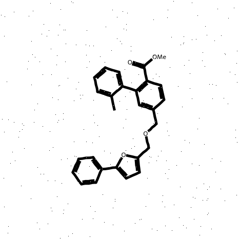 COC(=O)c1ccc(COCc2ccc(-c3ccccc3)o2)cc1-c1ccccc1C